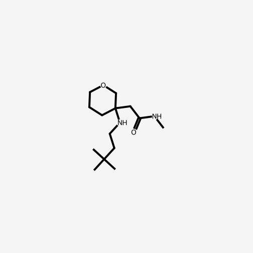 CNC(=O)CC1(NCCC(C)(C)C)CCCOC1